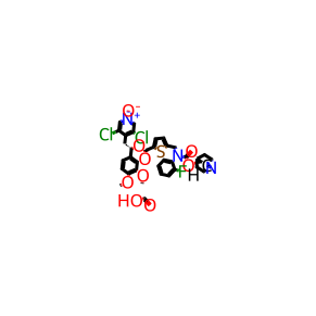 COc1ccc([C@H](Cc2c(Cl)c[n+]([O-])cc2Cl)OC(=O)c2ccc(CN(C(=O)O[C@@H]3CN4CCC3CC4)c3ccccc3F)s2)cc1OC.O=CO